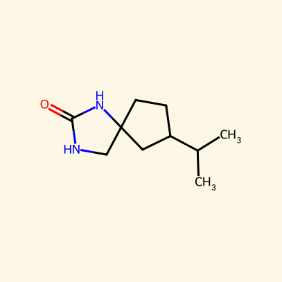 CC(C)C1CCC2(CNC(=O)N2)C1